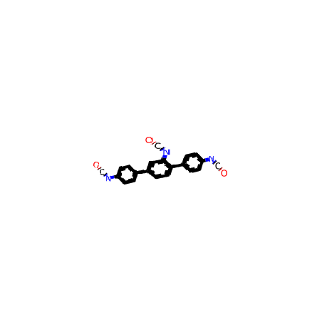 O=C=Nc1ccc(-c2ccc(-c3ccc(N=C=O)cc3)c(N=C=O)c2)cc1